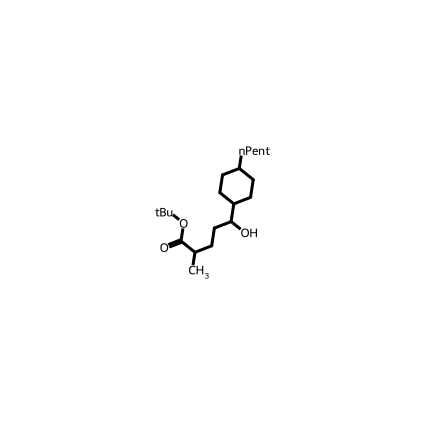 CCCCCC1CCC(C(O)CCC(C)C(=O)OC(C)(C)C)CC1